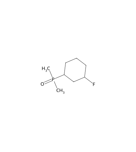 CP(C)(=O)C1CCCC(F)C1